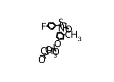 Cc1cc(OCC(=O)OCC2(C)COC2)ccc1N1C(=O)CSC1c1ccc(F)cc1